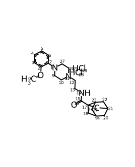 COc1ccccc1N1CCN(CCNC(=O)C23CC4CC(CC2C4)C3)CC1.Cl.Cl